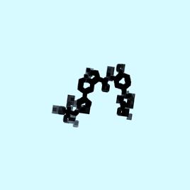 Cc1nnn(-c2ccc(Cl)c(NC(=O)c3cnn4ccc(-c5cnn(CC(C)(C)O)c5)cc34)c2)n1